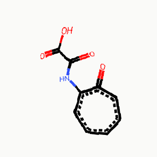 O=C(O)C(=O)Nc1cccccc1=O